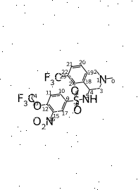 CN(C)CC(NS(=O)(=O)c1ccc(OC(F)(F)F)c([N+](=O)[O-])c1)c1cccc(C(F)(F)F)c1